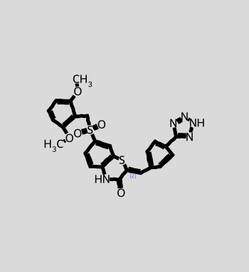 COc1cccc(OC)c1CS(=O)(=O)c1ccc2c(c1)S/C(=C\c1ccc(-c3nn[nH]n3)cc1)C(=O)N2